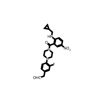 O=CCc1ccc(N2CCN(C(=O)c3cc([N+](=O)[O-])ccc3NCC3CC3)CC2)c(F)c1